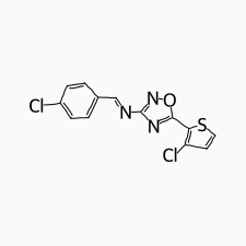 Clc1ccc(C=Nc2noc(-c3sccc3Cl)n2)cc1